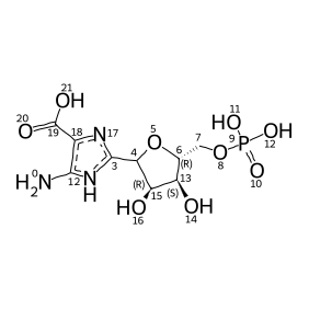 Nc1[nH]c(C2O[C@H](COP(=O)(O)O)[C@@H](O)[C@H]2O)nc1C(=O)O